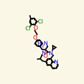 Cc1cc(Cl)c(OCCOc2ccc(CC(CN)C(=O)N(Cc3cc(CC(C)C#N)cc4cccnc34)C3CC3)cc2)c(Cl)c1